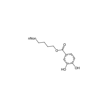 CCCCCCCCCCCCCOC(=O)c1ccc(O)c(O)c1